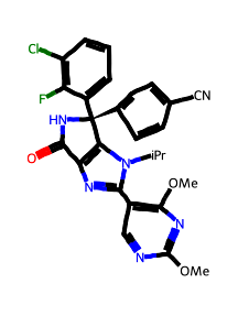 COc1ncc(-c2nc3c(n2C(C)C)[C@@](c2ccc(C#N)cc2)(c2cccc(Cl)c2F)NC3=O)c(OC)n1